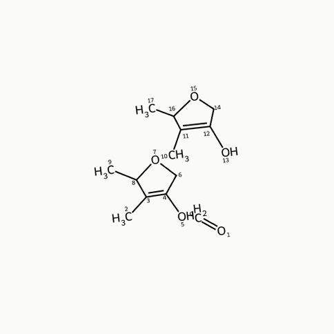 C=O.CC1=C(O)COC1C.CC1=C(O)COC1C